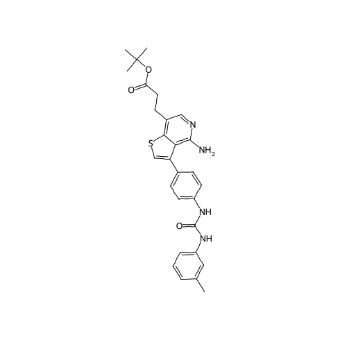 Cc1cccc(NC(=O)Nc2ccc(-c3csc4c(CCC(=O)OC(C)(C)C)cnc(N)c34)cc2)c1